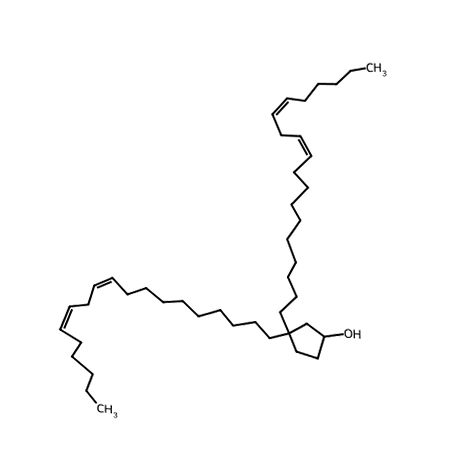 CCCCC/C=C\C/C=C\CCCCCCCCCC1(CCCCCCCCC/C=C\C/C=C\CCCCC)CCC(O)C1